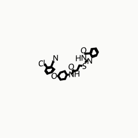 N#Cc1cc(OC2CCC(NC(=O)CCSc3nc4ccccc4c(=O)[nH]3)CC2)ccc1Cl